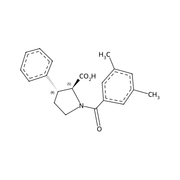 Cc1cc(C)cc(C(=O)N2CC[C@H](c3ccccc3)[C@H]2C(=O)O)c1